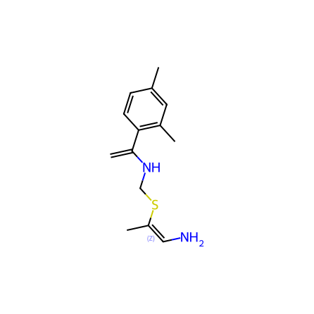 C=C(NCS/C(C)=C\N)c1ccc(C)cc1C